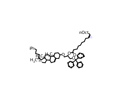 CCCCCCCC/C=C\CCCCCCCC(=O)OC(COC1CC[C@@]2(C)C(=CCC3C2CC[C@@]2(C)C3CC[C@@H]2[C@H](C)CCCC(C)C)C1)COC(c1ccccc1)(c1ccccc1)c1ccccc1